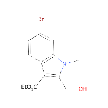 CCOC(=O)c1c(CO)n(C)c2cc(Br)ccc12